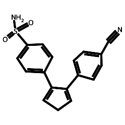 N#Cc1ccc(C2=CCC=C2c2ccc(S(N)(=O)=O)cc2)cc1